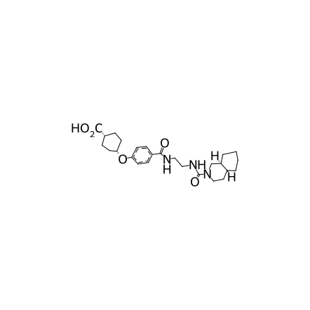 O=C(NCCNC(=O)N1CC[C@H]2CCCC[C@@H]2C1)c1ccc(O[C@H]2CC[C@@H](C(=O)O)CC2)cc1